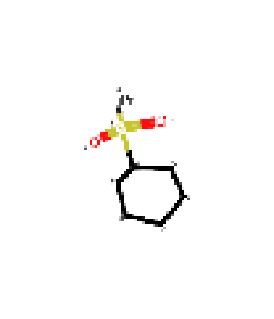 CC(C)S(=O)(=O)C1CCCCC1